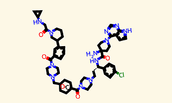 NC1(C(=O)N[C@@H](CCN2CCN(C(=O)C34CCC(CN5CCN(C(=O)c6cccc(C7CCCN(C(=O)CNC8CC8)C7)c6)CC5)(CC3)OC4)CC2)c2ccc(Cl)cc2)CCN(c2ncnc3[nH]ccc23)CC1